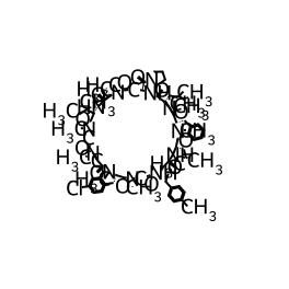 CC[C@H](C)[C@@H]1NC(=O)[C@H](C)N(C)C(=O)C[C@@H](C(=O)N2CCCC2)NC(=O)[C@H](CC(C)C)N(C)C(=O)[C@H](Cc2ccccc2)N(C)C(=O)[C@H](CC(C)C)NC(=O)[C@H](CCc2ccc(C)cc2)NC(=O)CN(C)C(=O)[C@H](Cc2ccc(Cl)cc2)N(C)C(=O)CN(C)C(=O)CN(C)C1=O